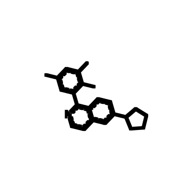 Cc1cc(C)c(C)c(-c2nccc3cc(C4CCCC4)ccc23)c1